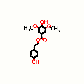 COc1cc(C(=O)OCCc2ccc(O)cc2)cc(OC)c1O